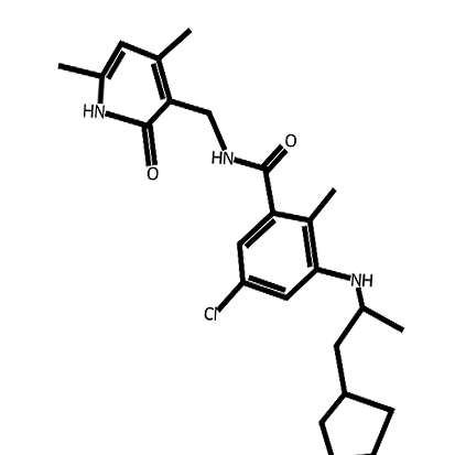 Cc1cc(C)c(CNC(=O)c2cc(Cl)cc(NC(C)CC3CCCC3)c2C)c(=O)[nH]1